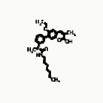 CCCCCCCNC(=O)N(C)c1cccc(-c2ccc(C=C(C)C(=O)O)cc2OCC)c1